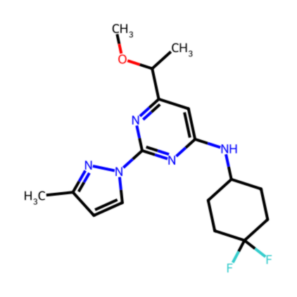 COC(C)c1cc(NC2CCC(F)(F)CC2)nc(-n2ccc(C)n2)n1